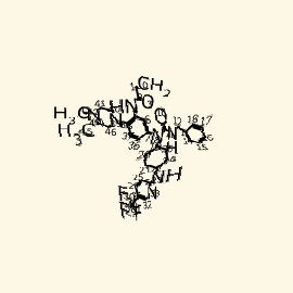 C=CC(=O)Nc1cc(N(C(=O)NCc2ccccc2)C2CCC(Nc3ccc(C(F)(F)F)cn3)CC2)ccc1N1CCN(C)[C@@H](C)C1